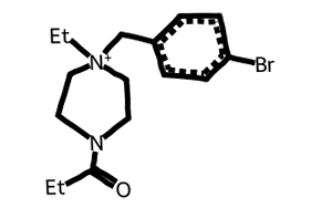 CCC(=O)N1CC[N+](CC)(Cc2ccc(Br)cc2)CC1